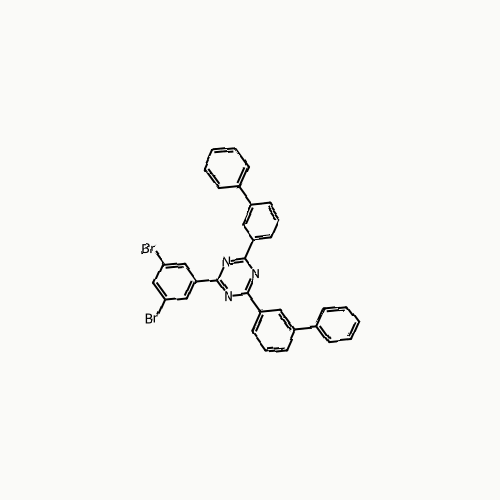 Brc1cc(Br)cc(-c2nc(-c3cccc(-c4ccccc4)c3)nc(-c3cccc(-c4ccccc4)c3)n2)c1